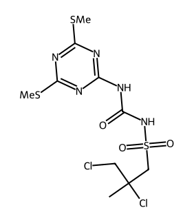 CSc1nc(NC(=O)NS(=O)(=O)CC(C)(Cl)CCl)nc(SC)n1